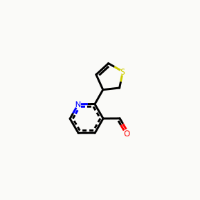 O=Cc1cccnc1C1C=CSC1